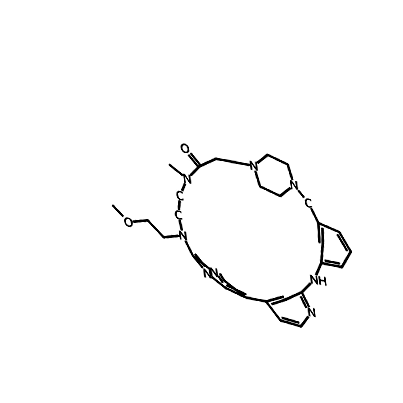 COCCN1CCN(C)C(=O)CN2CCN(CC2)Cc2cccc(c2)Nc2cc(ccn2)-c2cnc1nc2